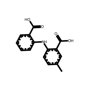 Cc1ccc(Nc2ccccc2C(=O)O)c(C(=O)O)c1